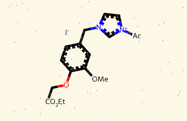 CCOC(=O)COc1ccc(Cn2cc[n+](C(C)=O)c2)cc1OC.[I-]